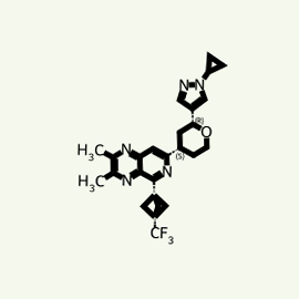 Cc1nc2cc([C@H]3CCO[C@@H](c4cnn(C5CC5)c4)C3)nc([C@]34C[C@](C(F)(F)F)(C3)C4)c2nc1C